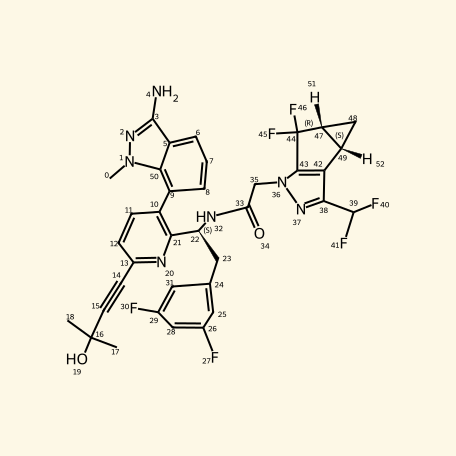 Cn1nc(N)c2cccc(-c3ccc(C#CC(C)(C)O)nc3[C@H](Cc3cc(F)cc(F)c3)NC(=O)Cn3nc(C(F)F)c4c3C(F)(F)[C@@H]3C[C@H]43)c21